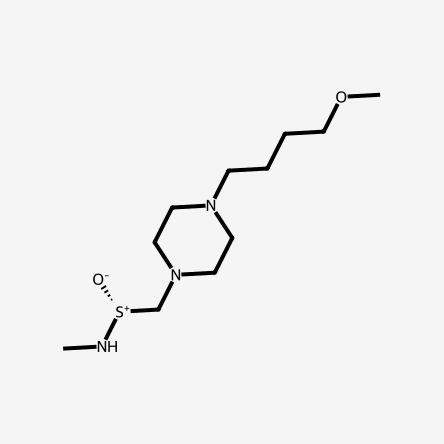 CN[S@+]([O-])CN1CCN(CCCCOC)CC1